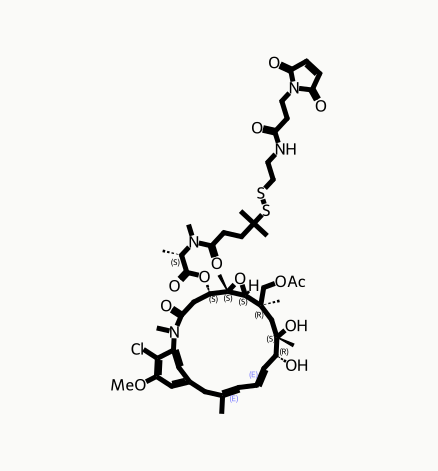 COc1cc2cc(c1Cl)N(C)C(=O)C[C@H](OC(=O)[C@H](C)N(C)C(=O)CCC(C)(C)SSCCNC(=O)CCN1C(=O)C=CC1=O)[C@]1(C)O[C@H]1[C@@](C)(COC(C)=O)C[C@](C)(O)[C@H](O)/C=C/C=C(\C)C2